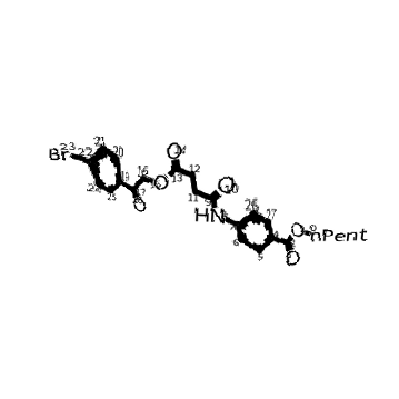 CCCCCOC(=O)c1ccc(NC(=O)CCC(=O)OCC(=O)c2ccc(Br)cc2)cc1